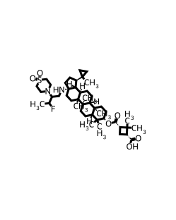 CC(F)C(CN[C@]12CC[C@@H](C3(C)CC3)[C@@H]1[C@H]1CC[C@@H]3[C@@]4(C)CC[C@H](OC(=O)[C@H]5C[C@@H](C(=O)O)C5(C)C)C(C)(C)[C@@H]4CC[C@@]3(C)[C@]1(C)CC2)N1CCS(=O)(=O)CC1